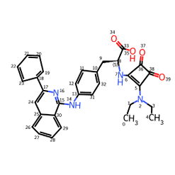 CCN(CC)c1c(N[C@@H](Cc2ccc(Nc3nc(-c4ccccc4)cc4ccccc34)cc2)C(=O)O)c(=O)c1=O